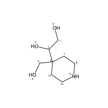 OCC(O)C1(CO)CCNCC1